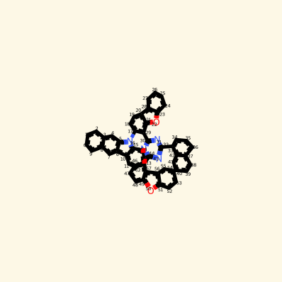 c1ccc2cc3c(cc2c1)c1ccccc1n3-c1ccc2c(oc3ccccc32)c1-c1nc(-c2cccc3ccccc23)nc(-c2cccc3oc4ccccc4c23)n1